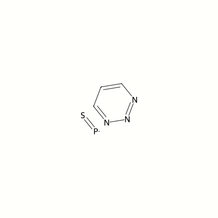 [P]=S.c1cnnnc1